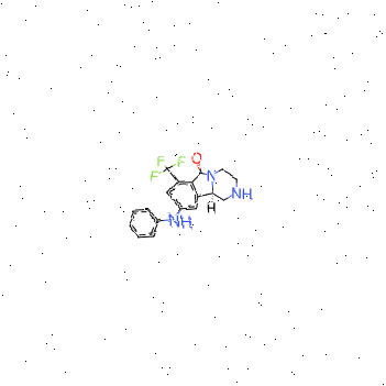 O=C1c2c(cc(Nc3ccccc3)cc2C(F)(F)F)[C@@H]2CNCCN12